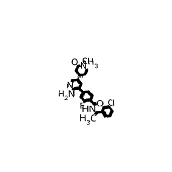 CC(NC(=O)c1ccc(-c2cc([C@H]3CCN(C)C(=O)C3)cnc2N)cc1F)c1cccc(Cl)c1